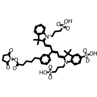 CC1(C)C(/C=C/C(=C/C=C2/N(CCCS(=O)(=O)O)c3ccc(S(=O)(=O)O)cc3C2(C)C)c2cccc(CCCCC(=O)ON3C(=O)CCC3=O)c2)=[N+](CCCS(=O)(=O)O)c2ccccc21